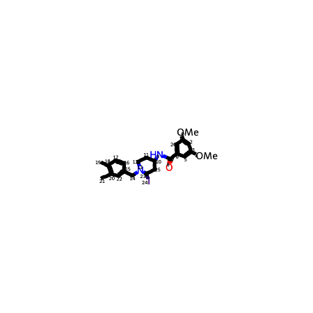 COc1cc(OC)cc(C(=O)NC2CCN(Cc3ccc(C)c(C)c3)C(I)C2)c1